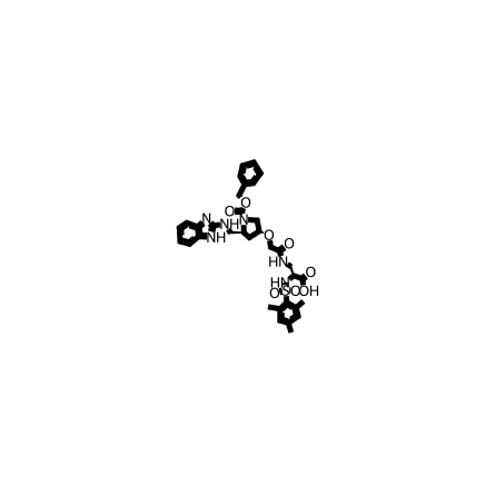 Cc1cc(C)c(S(=O)(=O)N[C@@H](CNC(=O)CO[C@@H]2C[C@@H](CNc3nc4ccccc4[nH]3)N(C(=O)OCc3ccccc3)C2)C(=O)O)c(C)c1